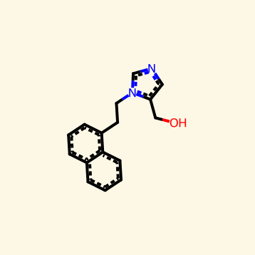 OCc1cncn1CCc1cccc2ccccc12